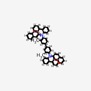 Cc1cc(-c2ccc(N(c3ccc4ccccc4c3)c3ccccc3-c3ccccc3)c(C)c2)ccc1N(c1ccc2ccccc2c1)c1ccccc1-c1ccccc1